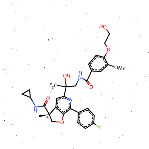 COc1cc(C(=O)NCC(O)(c2cc3c(c(-c4ccc(F)cc4)n2)OC[C@]3(C)C(=O)NC2CC2)C(F)(F)F)ccc1OCCO